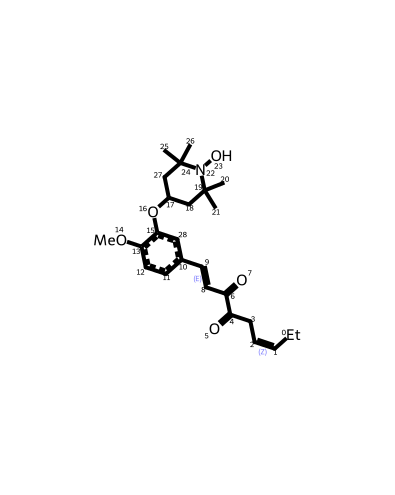 CC/C=C\CC(=O)C(=O)/C=C/c1ccc(OC)c(OC2CC(C)(C)N(O)C(C)(C)C2)c1